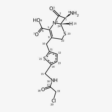 N[C@@H]1C(=O)N2C(C(=O)O)=C(Cc3ccc(CNC(=O)CCl)s3)CS[C@@H]12